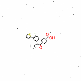 C=C(C(=O)c1ccc(C(=O)O)cc1)c1ccc(F)c(-c2cccs2)c1